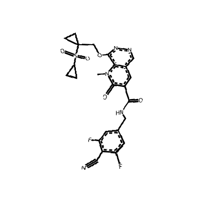 Cn1c(=O)c(C(=O)NCc2cc(F)c(C#N)c(F)c2)cc2cnnc(OCC3(S(=O)(=O)C4CC4)CC3)c21